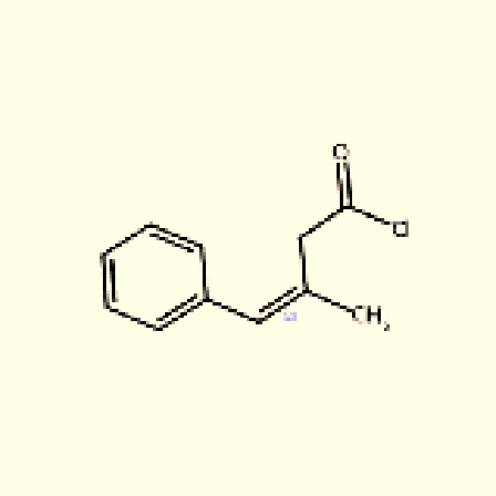 C/C(=C/c1ccccc1)CC(=O)Cl